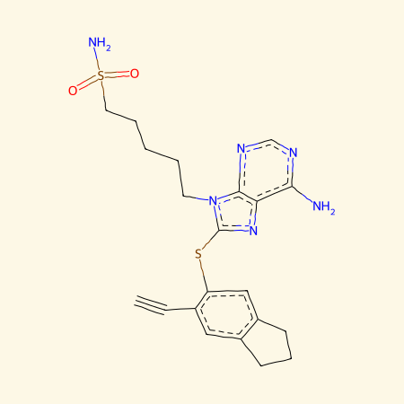 C#Cc1cc2c(cc1Sc1nc3c(N)ncnc3n1CCCCCS(N)(=O)=O)CCC2